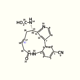 N#Cc1ccc2c(c1)-c1ccnc(c1)[C@@H](NC(=O)O)C/C=C/CC(=O)N2